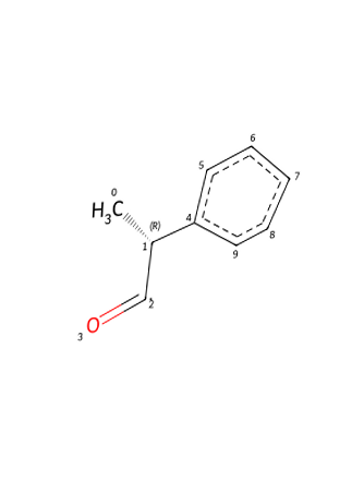 C[C@@H]([C]=O)c1ccccc1